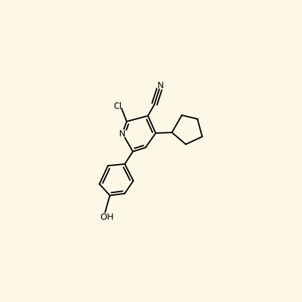 N#Cc1c(C2CCCC2)cc(-c2ccc(O)cc2)nc1Cl